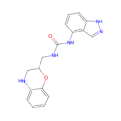 O=C(NCC1CNc2ccccc2O1)Nc1cccc2[nH]ncc12